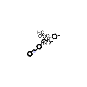 CC(C)N(c1nn(-c2ccc(/C=C/c3ccccc3)cc2)cc1OC(=O)O)C(=O)[C@H]1CC[C@H](C)CC1